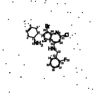 N[C@H]1CC=CC[C@@H]1c1sc2c(NCc3ccccc3F)cc(Cl)nc2c1Br